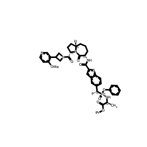 COc1ccncc1C1CN(C(=O)[C@@H]2CC[C@@H]3CCC[C@H](NC(=O)c4cc5cc([C@@H](F)[P@](=O)(N[C@@H](C)C(=O)OC(C)C)Oc6ccccc6)ccc5s4)C(=O)N32)C1